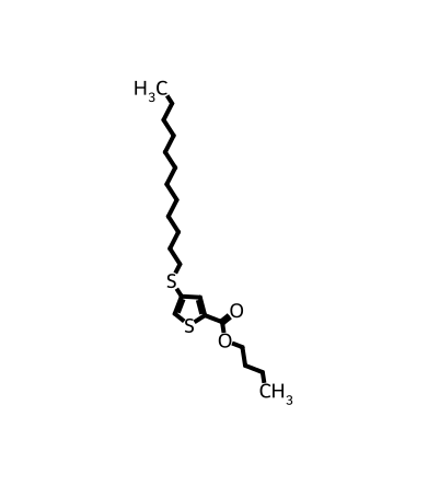 CCCCCCCCCCCCSc1csc(C(=O)OCCCC)c1